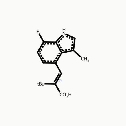 Cc1c[nH]c2c(F)ccc(/C=C(/C(=O)O)C(C)(C)C)c12